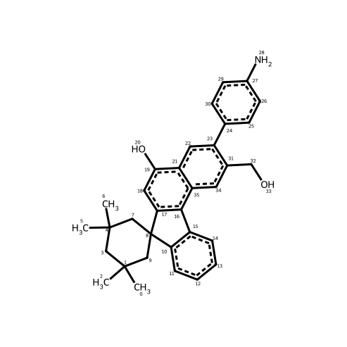 CC1(C)CC(C)(C)CC2(C1)c1ccccc1-c1c2cc(O)c2cc(-c3ccc(N)cc3)c(CO)cc12